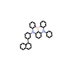 c1ccc(N2c3ccccc3B3c4ccccc4N(c4cccc(-c5cccc6ccccc56)c4)c4cccc2c43)cc1